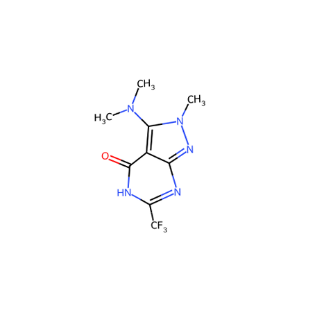 CN(C)c1c2c(=O)[nH]c(C(F)(F)F)nc2nn1C